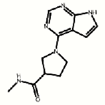 CNC(=O)C1CCN(c2ncnc3[nH]ccc23)C1